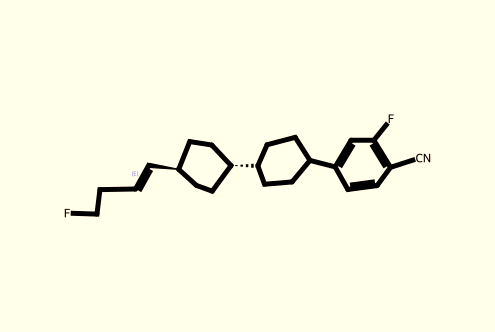 N#Cc1ccc(C2CCC([C@H]3CC[C@H](/C=C/CCF)CC3)CC2)cc1F